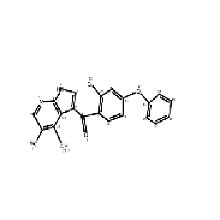 N#Cc1cnc2[nH]cc(C(=O)c3ccc(Oc4ccccc4)cc3Cl)c2c1N